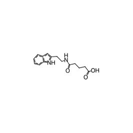 O=C(O)CCCC(=O)NCCc1cc2ccccc2[nH]1